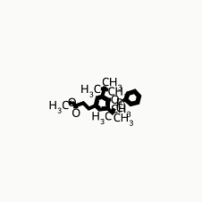 COC(=O)CCc1cc(C(C)(C)C)c(OP(Cl)c2ccccc2)c(C(C)(C)C)c1